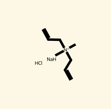 C=CC[N+](C)(C)CC=C.Cl.[NaH]